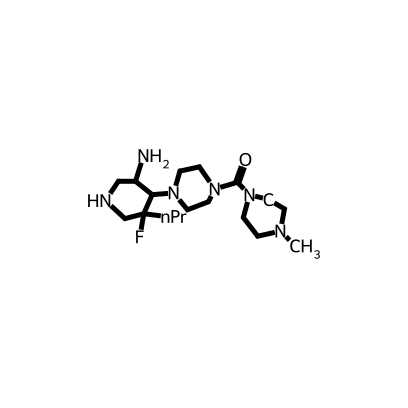 CCCC1(F)CNCC(N)C1N1CCN(C(=O)N2CCN(C)CC2)CC1